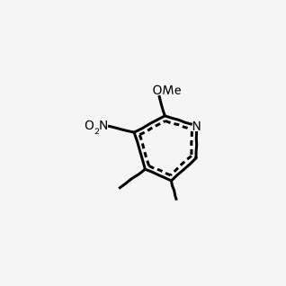 COc1ncc(C)c(C)c1[N+](=O)[O-]